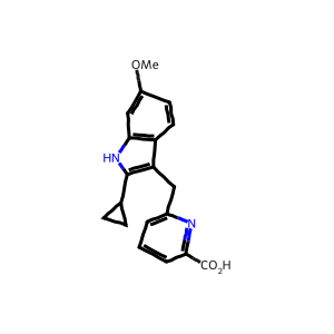 COc1ccc2c(Cc3cccc(C(=O)O)n3)c(C3CC3)[nH]c2c1